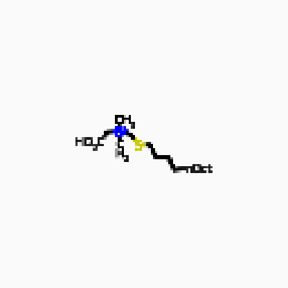 CCCCCCCCCCCCSC[N+](C)(C)CC(=O)O